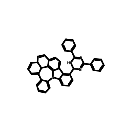 C1=CC2C=Cc3ccc4c5c(C6N=C(c7ccccc7)N=C(c7ccccc7)N6)cccc5n5c4c3C2C(=C1)c1ccccc1-5